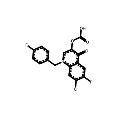 O=C(O)Oc1cn(Cc2ccc(F)cc2)c2cc(Cl)c(F)cc2c1=O